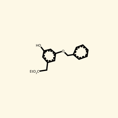 CCOC(=O)Cc1cc(O)cc(OCc2ccccc2)c1